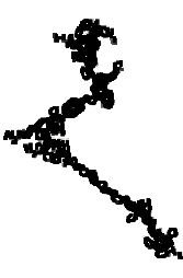 COc1cc2cc(C(=O)N3CC(CCl)c4c3cc(OCc3ccc(NC(=O)[C@H](CCCCN)NC(=O)[C@@H](NC(=O)CCOCCOCCOCCOCCNC(=O)CCCCCN5C(=O)CC(C)C5=O)C(C)C)cc3)c3ncccc43)[nH]c2c(OC)c1OC